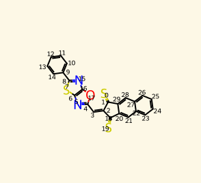 S=C1C(=Cc2nc3sc(-c4ccccc4)nc3o2)C(=S)c2cc3ccccc3cc21